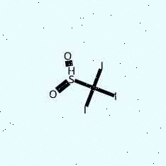 O=[SH](=O)C(I)(I)I